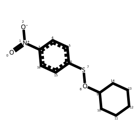 O=[N+]([O-])c1ccc(SOC2CCCCC2)cc1